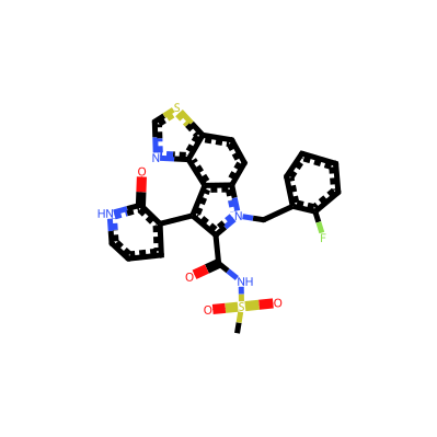 CS(=O)(=O)NC(=O)c1c(-c2ccc[nH]c2=O)c2c3ncsc3ccc2n1Cc1ccccc1F